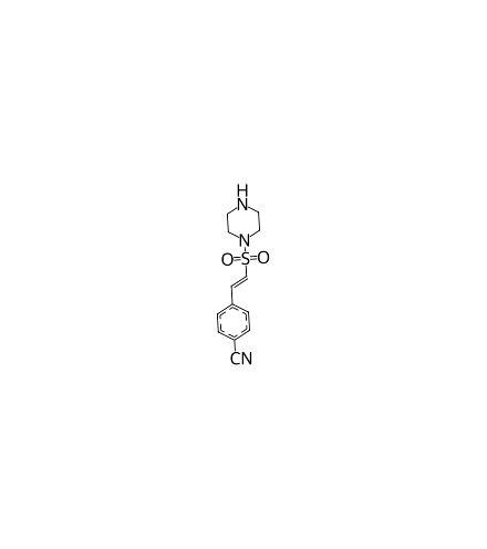 N#Cc1ccc(/C=C/S(=O)(=O)N2CCNCC2)cc1